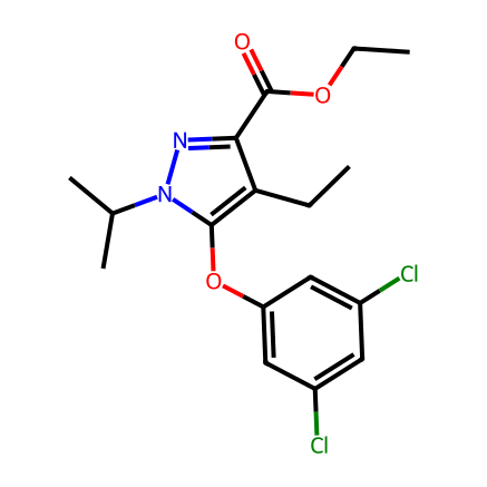 CCOC(=O)c1nn(C(C)C)c(Oc2cc(Cl)cc(Cl)c2)c1CC